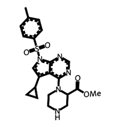 COC(=O)C1CNCCN1c1ncnc2c1c(C1CC1)cn2S(=O)(=O)c1ccc(C)cc1